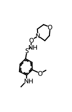 CNc1ccc(SNON2CCOCC2)cc1OC